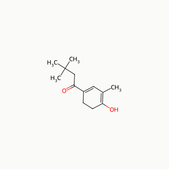 CC1=C(O)CCC(C(=O)CC(C)(C)C)=C1